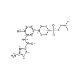 CN(C)CCS(=O)(=O)N1CCN(c2ccc(Br)c(NC(=O)c3coc(N)n3)c2)CC1